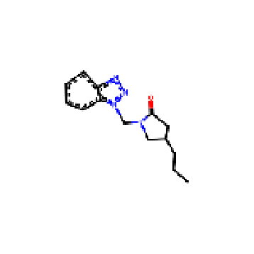 CCCC1CC(=O)N(Cn2nnc3ccccc32)C1